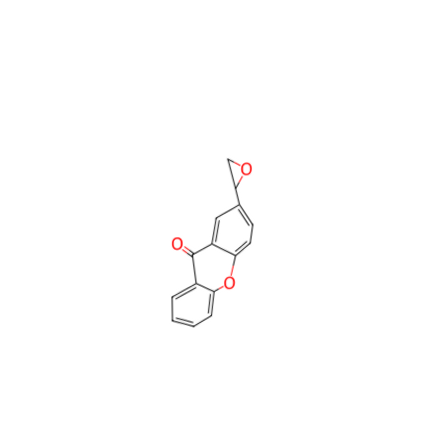 O=c1c2ccccc2oc2ccc(C3CO3)cc12